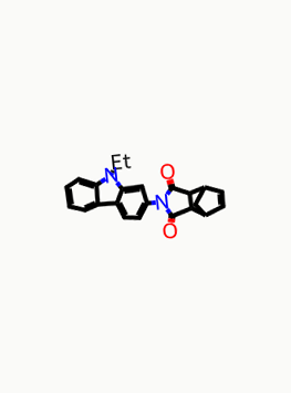 CCn1c2ccccc2c2ccc(N3C(=O)C4C5C=CC(C5)C4C3=O)cc21